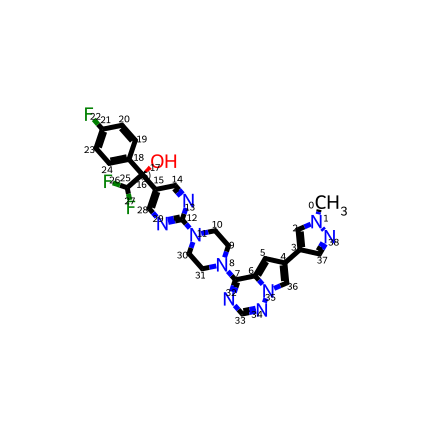 Cn1cc(-c2cc3c(N4CCN(c5ncc([C@@](O)(c6ccc(F)cc6)C(F)F)cn5)CC4)ncnn3c2)cn1